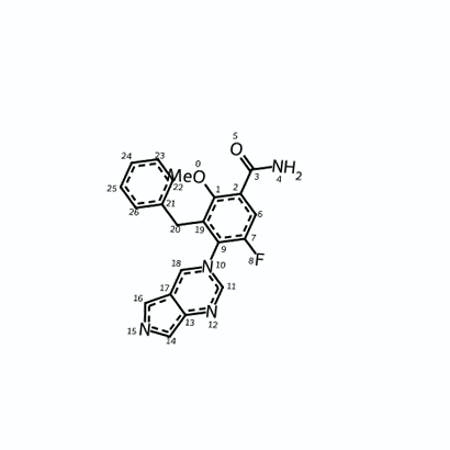 COc1c(C(N)=O)cc(F)c(-n2cnc3cncc-3c2)c1Cc1ccccc1